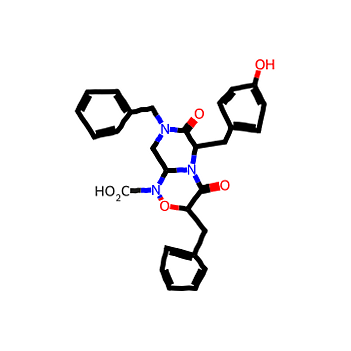 O=C1C(Cc2ccc(O)cc2)N2C(=O)C(Cc3ccccc3)ON(C(=O)O)C2CN1Cc1ccccc1